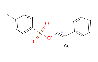 CC(=O)/C(=C\OS(=O)(=O)c1ccc(C)cc1)c1ccccc1